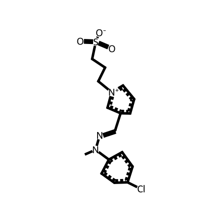 CN(N=Cc1ccc[n+](CCCS(=O)(=O)[O-])c1)c1ccc(Cl)cc1